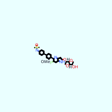 COc1cc(-c2ccc(N=S(C)(C)=O)cc2)ccc1-c1nc2cc(O[C@@H]3CO[C@H]4[C@@H]3OC[C@H]4O)[nH]c2cc1F